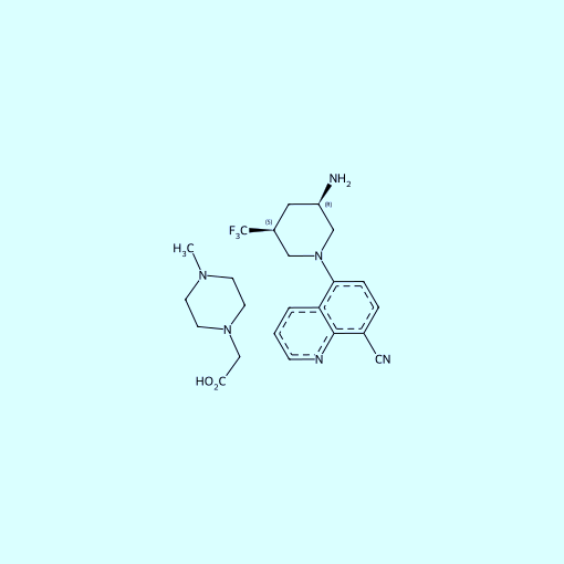 CN1CCN(CC(=O)O)CC1.N#Cc1ccc(N2C[C@H](N)C[C@H](C(F)(F)F)C2)c2cccnc12